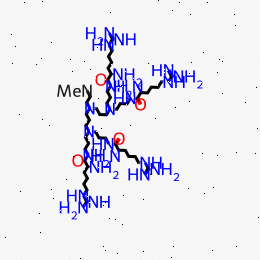 CNCCN(CCCN(CCCNC(=O)[C@@H](N)CCCCNC(=N)N)CCCNC(=O)[C@@H](N)CCCCNC(=N)N)CCCN(CCCNC(=O)[C@@H](N)CCCCNC(=N)N)CCCNC(=O)[C@@H](N)CCCCNC(=N)N